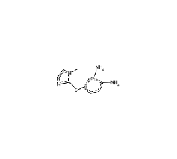 Cn1ccnc1Sc1ccc(N)c(N)c1